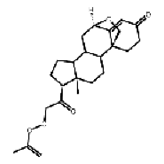 C=C(C)OOCC(=O)[C@H]1CCC2C3C[C@H]4OC[C@@]5(CCC(=O)C=C45)C3CC[C@@]21C